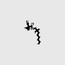 CCCCCCC(C)(C)CNC(=O)C1(C#N)CC1